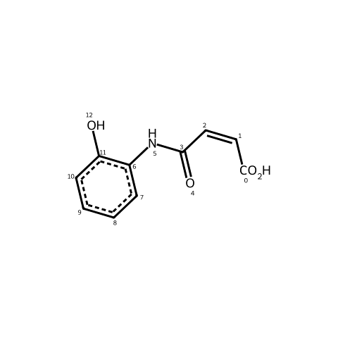 O=C(O)/C=C\C(=O)Nc1ccccc1O